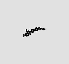 CCCCCOc1ccc(-c2ccc(-c3cc(CC)c4cc(F)ccc4n3)cc2)cc1